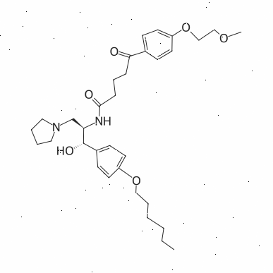 CCCCCCOc1ccc([C@H](O)[C@@H](CN2CCCC2)NC(=O)CCCC(=O)c2ccc(OCCOC)cc2)cc1